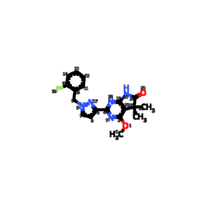 COc1nc(-c2ccn(Cc3ccccc3F)n2)nc2c1C(C)(C)C(=O)N2